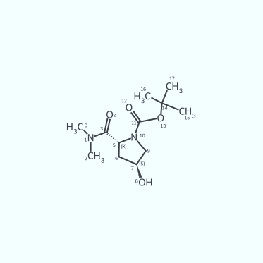 CN(C)C(=O)[C@H]1C[C@H](O)CN1C(=O)OC(C)(C)C